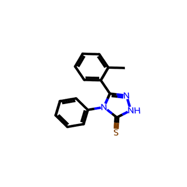 Cc1ccccc1-c1n[nH]c(=S)n1-c1ccccc1